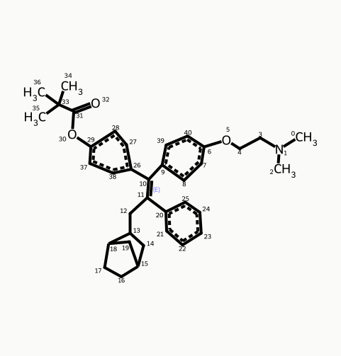 CN(C)CCOc1ccc(/C(=C(/CC2CC3CCC2C3)c2ccccc2)c2ccc(OC(=O)C(C)(C)C)cc2)cc1